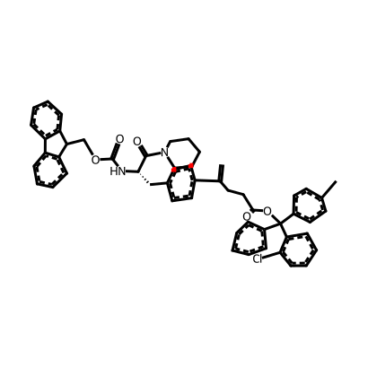 C=C(CCC(=O)OC(c1ccccc1)(c1ccc(C)cc1)c1ccccc1Cl)c1ccc(C[C@H](NC(=O)OCC2c3ccccc3-c3ccccc32)C(=O)N2CCCCC2)cc1